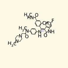 CNC(=O)c1ccc(/C(Nc2ccc(N(C)C(=O)CN3CCN(C)CC3)cc2)=C2/C(=O)Nc3cc(F)ccc32)c(C)c1